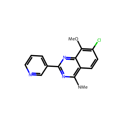 CNc1nc(-c2cccnc2)nc2c(OC)c(Cl)ccc12